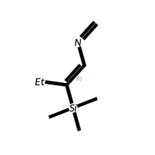 C=N/C=C(\CC)[Si](C)(C)C